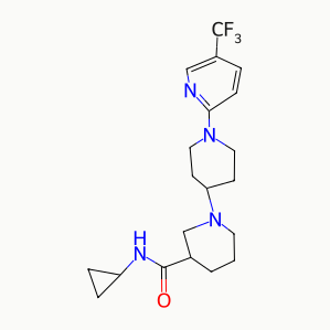 O=C(NC1CC1)C1CCCN(C2CCN(c3ccc(C(F)(F)F)cn3)CC2)C1